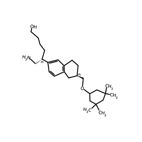 CC1(C)CC(OC[C@@H]2CCc3cc([C@H](CN)CCCCO)ccc3C2)CC(C)(C)C1